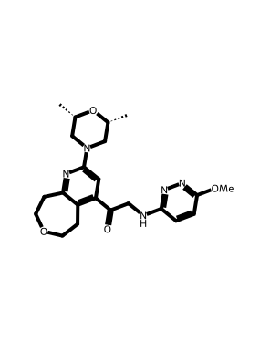 COc1ccc(NCC(=O)c2cc(N3C[C@@H](C)O[C@@H](C)C3)nc3c2CCOCC3)nn1